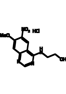 COc1cc2ncnc(NCCO)c2cc1[N+](=O)[O-].Cl